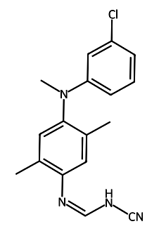 Cc1cc(N(C)c2cccc(Cl)c2)c(C)cc1/N=C\NC#N